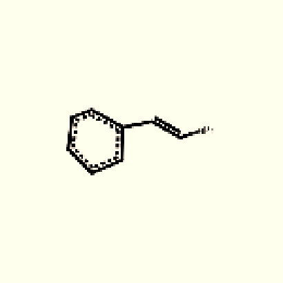 CC(C)C=Cc1ccccc1